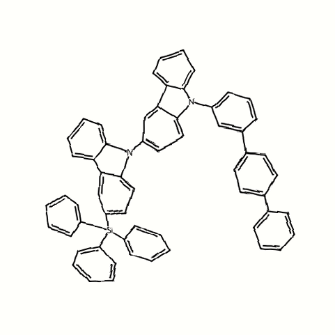 c1ccc(-c2ccc(-c3cccc(-n4c5ccccc5c5cc(-n6c7ccccc7c7cc([Si](c8ccccc8)(c8ccccc8)c8ccccc8)ccc76)ccc54)c3)cc2)cc1